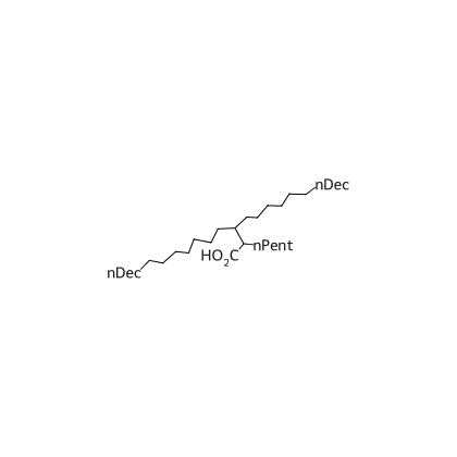 CCCCCCCCCCCCCCCCCC(CCCCCCCCCCCCCCCC)C(CCCCC)C(=O)O